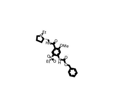 CCN1CCC[C@H]1CNC(=O)c1cc(S(=O)(=O)CC)c(NC(=O)OCc2ccccc2)cc1OC